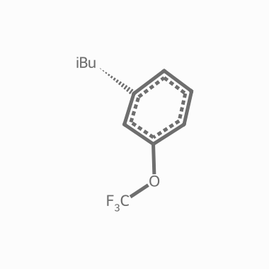 CC[C@@H](C)c1cccc(OC(F)(F)F)c1